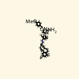 COc1ccc(COc2cc(-n3ncc(/C=C/CN4CCN5c6cc(F)cc(F)c6CCC5C4)c3C)nc(N)n2)cc1